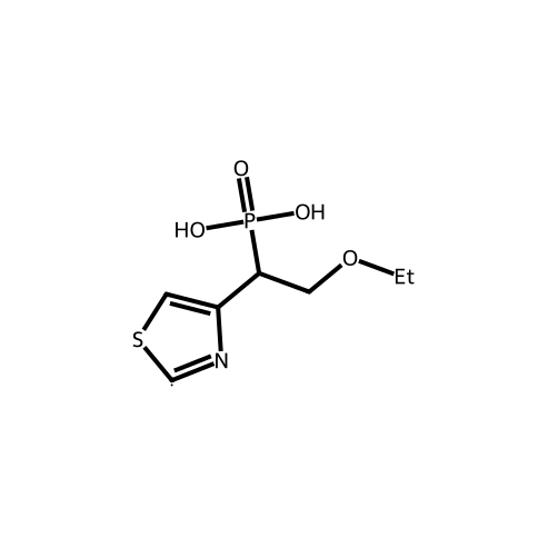 CCOCC(c1cs[c]n1)P(=O)(O)O